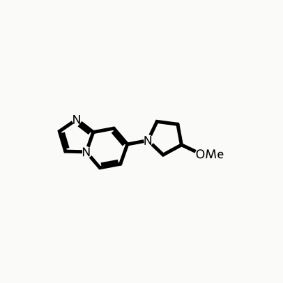 COC1CCN(c2ccn3ccnc3c2)C1